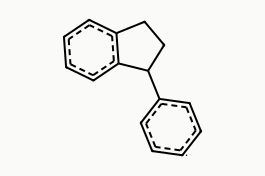 [c]1ccc(C2CCc3ccccc32)cc1